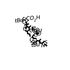 C/C(=C\c1csc(C)n1)[C@H](CC1O[C@@]1(CCCC(C)[C@H](O[Si](C)(C)C(C)(C)C)C(C)C(=O)C(C)(C)[C@H](CC(=O)O)O[Si](C)(C)C(C)(C)C)COS(C)(=O)=O)O[Si](C)(C)C(C)(C)C